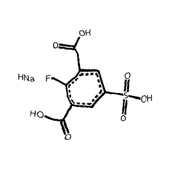 O=C(O)c1cc(S(=O)(=O)O)cc(C(=O)O)c1F.[NaH]